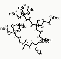 CCCCCCCCCCCCC[N+](C)(C)CCC[Si](OCCCC)(OCCCC)OCCCC.CCCCCCCCCCCCC[N+](C)(CCCCCCCCCCCCC)CCC[Si](OCCCC)(OCCCC)OCCCC.[Cl-].[Cl-]